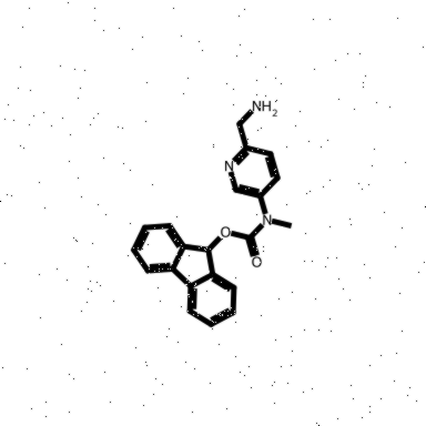 CN(C(=O)OC1c2ccccc2-c2ccccc21)c1ccc(CN)nc1